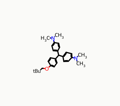 CN(C)c1ccc(C(c2ccc(OCC(C)(C)C)cc2)c2ccc(N(C)C)cc2)cc1